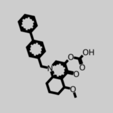 COC1CCCc2c1c(=O)c(OC(=O)O)cn2Cc1ccc(-c2ccccc2)cc1